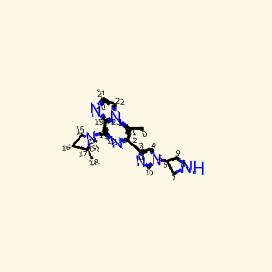 Cc1c(-c2cn(C3CNC3)cn2)nc(N2CC[C@@H]2C)c2nccn12